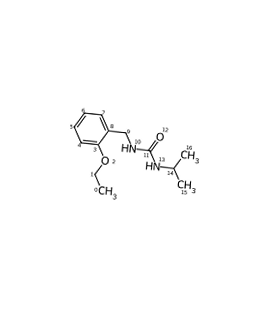 CCOc1ccccc1CNC(=O)NC(C)C